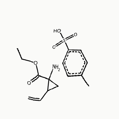 C=CC1CC1(N)C(=O)OCC.Cc1ccc(S(=O)(=O)O)cc1